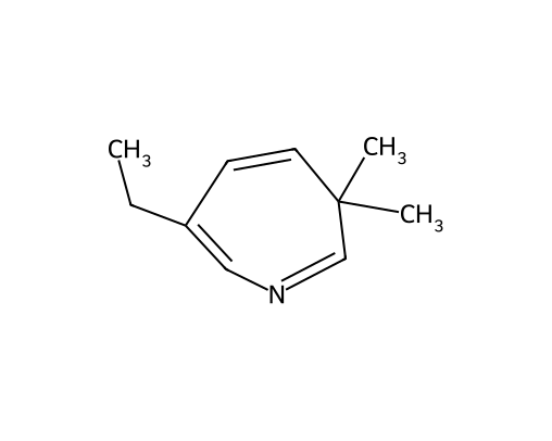 CCC1=CN=CC(C)(C)C=C1